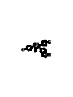 O=C(N(O)c1ccc(Cl)cc1)N(Cc1ccc(Cl)cc1)c1ccc2[nH]ncc2c1